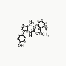 Cc1noc(-c2ccc(O)cc2)c1NC(=O)O[C@H](C)c1ccccc1F